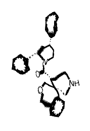 O=C([C@@H]1CNC[C@]12COCc1ccccc12)N1CC[C@@H](c2ccccc2)C[C@H]1c1ccccc1